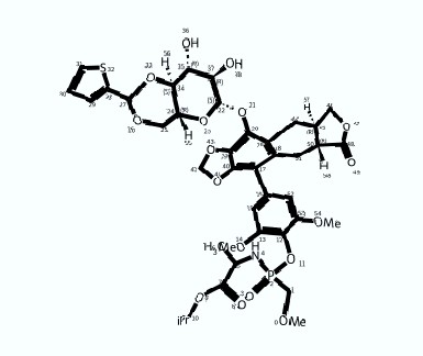 COCP(=O)(NC(C)C(=O)OC(C)C)Oc1c(OC)cc(-c2c3c(c(O[C@@H]4O[C@@H]5COC(c6cccs6)O[C@H]5[C@H](O)[C@H]4O)c4c2OCO4)C[C@H]2COC(=O)[C@@H]2C3)cc1OC